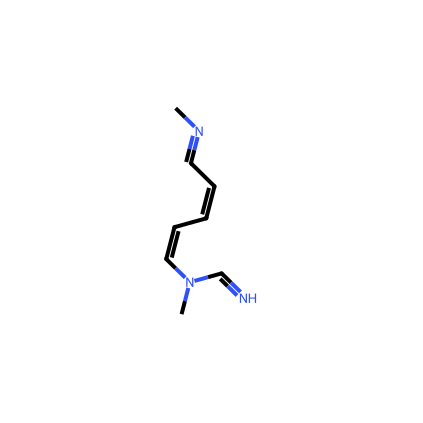 C/N=C/C=C\C=C/N(C)C=N